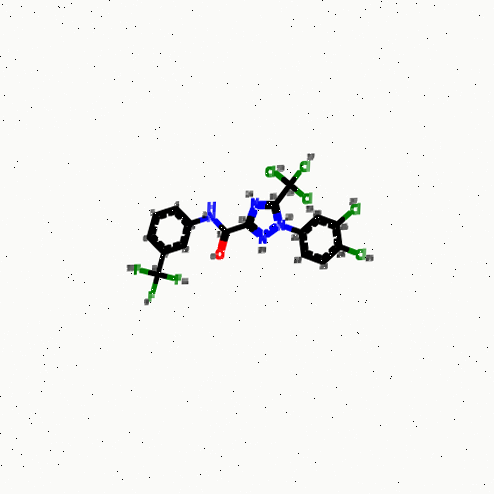 O=C(Nc1cccc(C(F)(F)F)c1)c1nc(C(Cl)(Cl)Cl)n(-c2ccc(Cl)c(Cl)c2)n1